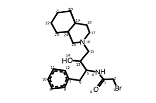 O=C(CBr)NC(Cc1ccccc1)C(O)CN1CCC2CCCCC2C1